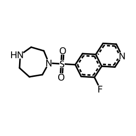 O=S(=O)(c1cc(F)c2cnccc2c1)N1CCCNCC1